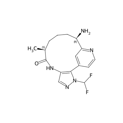 C[C@H]1CCC[C@@H](N)c2cc(ccn2)-c2c(cnn2C(F)F)NC1=O